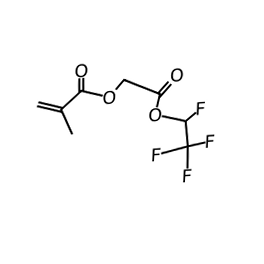 C=C(C)C(=O)OCC(=O)OC(F)C(F)(F)F